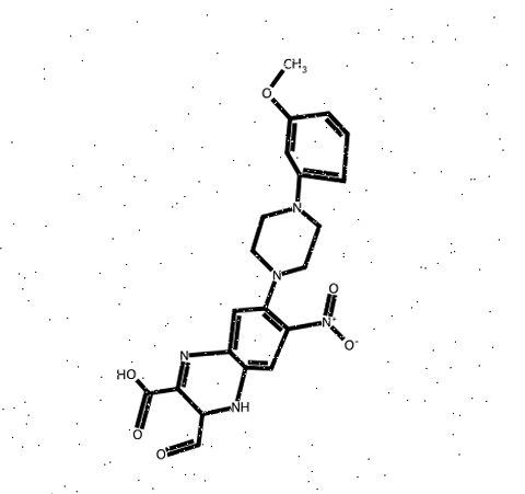 COc1cccc(N2CCN(c3cc4c(cc3[N+](=O)[O-])NC(C=O)C(C(=O)O)=N4)CC2)c1